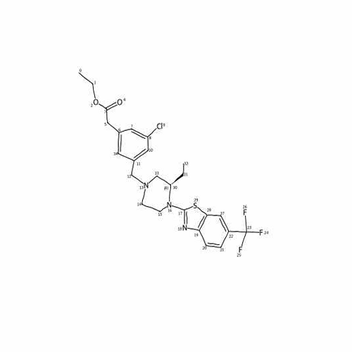 CCOC(=O)Cc1cc(Cl)cc(CN2CCN(c3nc4ccc(C(F)(F)F)cc4s3)[C@H](CC)C2)c1